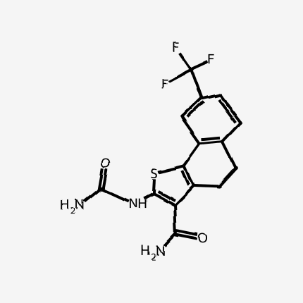 NC(=O)Nc1sc2c(c1C(N)=O)CCc1ccc(C(F)(F)F)cc1-2